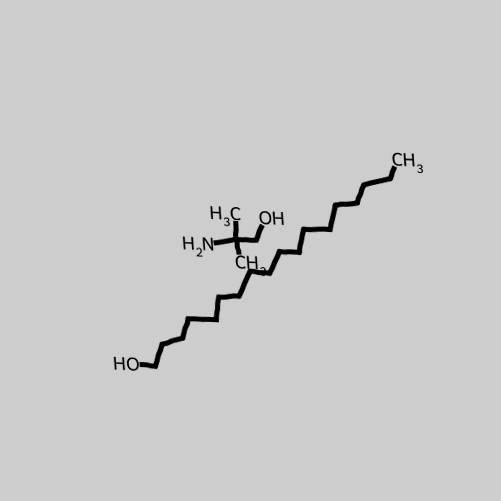 CC(C)(N)CO.CCCCCCCCCCCCCCCCCCO